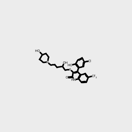 O=c1[nH]c2ccc(C(F)(F)F)cc2c(-c2cc(Cl)ccc2O)c1SCC(O)CCCN1CCC(O)CC1